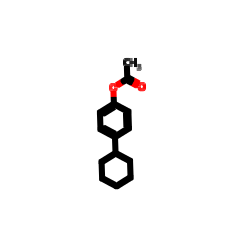 CC(=O)Oc1ccc(C2CCCCC2)cc1